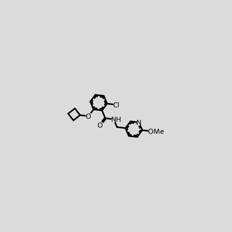 COc1ccc(CNC(=O)c2c(Cl)cccc2OC2CCC2)cn1